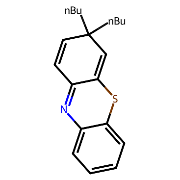 CCCCC1(CCCC)C=CC2=Nc3ccccc3SC2=C1